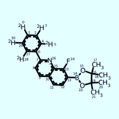 [2H]c1c([2H])c([2H])c(-c2ccc3ccc(B4OC(C)(C)C(C)(C)O4)c(F)c3n2)c([2H])c1[2H]